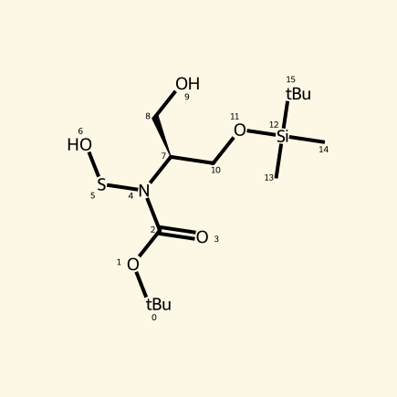 CC(C)(C)OC(=O)N(SO)[C@@H](CO)CO[Si](C)(C)C(C)(C)C